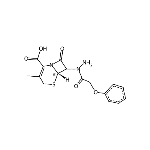 CC1=C(C(=O)O)N2C(=O)C(N(N)C(=O)COc3ccccc3)[C@@H]2SC1